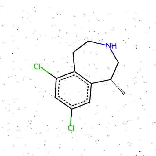 C[C@H]1CNCCc2c(Cl)cc(Cl)cc21